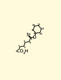 O=C(O)CCCCC(=S)OC1CCCCC1